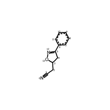 N#CCC1CC(c2ccccc2)=NO1